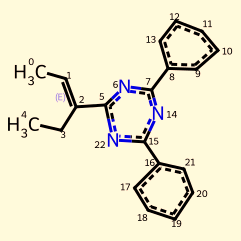 C/C=C(\CC)c1nc(-c2ccccc2)nc(-c2ccccc2)n1